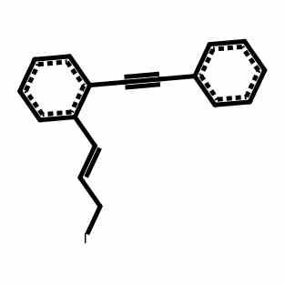 IC/C=C/c1ccccc1C#Cc1ccccc1